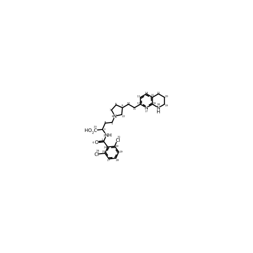 O=C(NC(CCN1CCC(CCc2ccc3c(n2)NCCC3)C1)C(=O)O)c1c(Cl)cccc1Cl